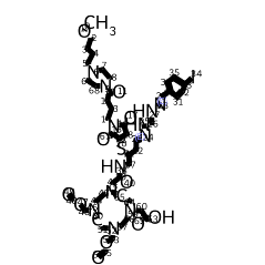 COCCCCN1CCN(C(=O)CCCN2C(=O)CC(SC(C/C=N/NCN/N=C/c3ccc(I)cc3)CNC(=O)CN3CCN(COC=O)CCN(COC=O)CCN(CC(=O)O)CC3)C2=O)CC1